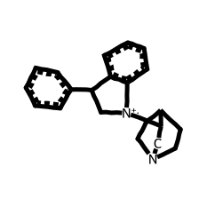 c1ccc(C2C[N+](C3CN4CCC3CC4)c3ccccc32)cc1